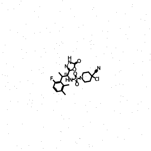 Cc1ccc(F)c(C(C)[C@H](NS(=O)(=O)N2CCC(Cl)(C#N)CC2)c2n[nH]c(=O)o2)c1C